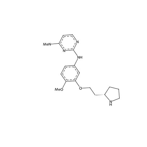 CNc1ccnc(Nc2ccc(OC)c(OCC[C@@H]3CCCN3)c2)n1